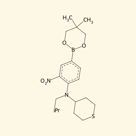 CC(C)CN(c1ccc(B2OCC(C)(C)CO2)cc1[N+](=O)[O-])C1CCSCC1